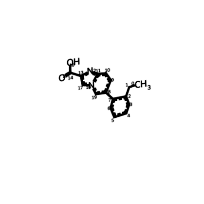 CCc1ccccc1-c1ccc2nc(C(=O)O)cn2c1